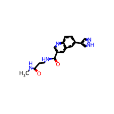 CNC(=O)CCNC(=O)c1cnc2ccc(-c3cn[nH]c3)cc2c1